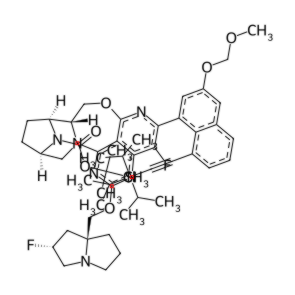 COCOc1cc(-c2nc3c4c(nc(OC[C@@]56CCCN5C[C@H](F)C6)nc4c2F)N2C[C@H]4CC[C@@H]([C@@H]2CO3)N4C(=O)OC(C)(C)C)c2c(C#C[Si](C(C)C)(C(C)C)C(C)C)cccc2c1